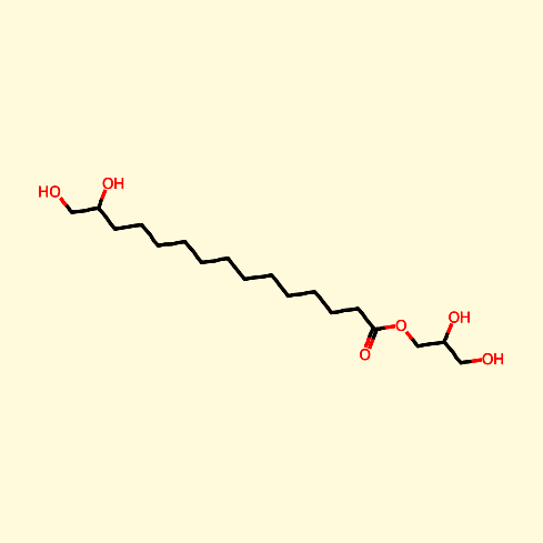 O=C(CCCCCCCCCCCCC(O)CO)OCC(O)CO